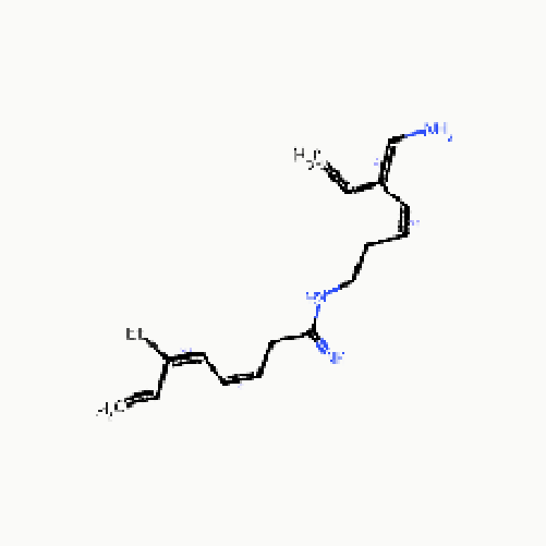 C=CC(/C=C\CCNC(=N)C/C=C\C=C(/C=C)CC)=C/N